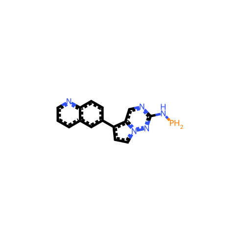 PNc1ncc2c(-c3ccc4ncccc4c3)ccn2n1